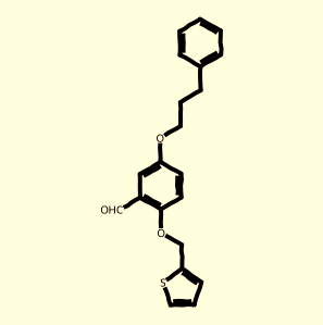 O=Cc1cc(OCCCc2ccccc2)ccc1OCc1cccs1